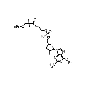 CCCOCC(C)(C)C(=O)SCCOP(=O)(O)OCC1CC(C)C(n2cnc3c(OCC)nc(N)nc32)O1